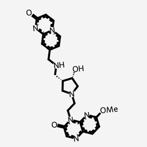 COc1ccc2ncc(=O)n(CCN3C[C@H](CNCc4ccn5ccc(=O)nc5c4)[C@H](O)C3)c2n1